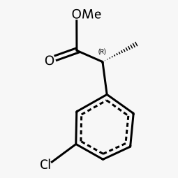 COC(=O)[C@H](C)c1cccc(Cl)c1